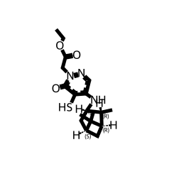 CCOC(=O)Cn1ncc(N[C@@H]2C[C@@H]3C[C@H]([C@H]2C)C3(C)C)c(S)c1=O